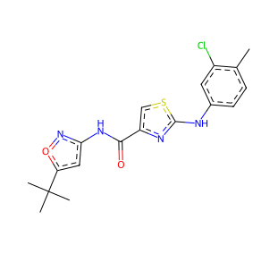 Cc1ccc(Nc2nc(C(=O)Nc3cc(C(C)(C)C)on3)cs2)cc1Cl